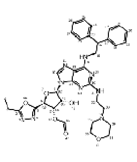 CCc1nnc([C@H]2O[C@@H](n3cnc4c(NCC(c5ccccc5)c5ccccc5)nc(NCCN5CCOCC5)nc43)[C@H](O)[C@@H]2OC=O)o1